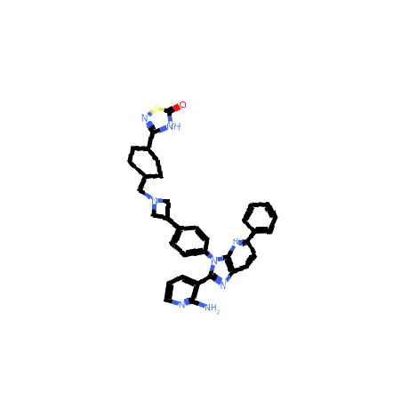 Nc1ncccc1-c1nc2ccc(-c3ccccc3)nc2n1-c1ccc(C2CN(CC3CCC(c4nsc(=O)[nH]4)CC3)C2)cc1